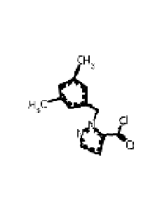 Cc1cc(C)cc(Cn2nccc2C(=O)Cl)c1